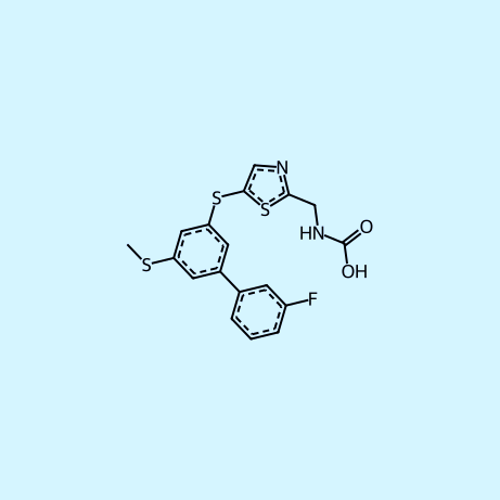 CSc1cc(Sc2cnc(CNC(=O)O)s2)cc(-c2cccc(F)c2)c1